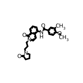 COc1ccc(C(=O)Nc2cccc3c(=O)n(CCCN4CCCC4=O)ccc23)cc1C